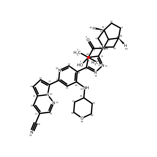 CC(C)(O)C(=O)NC1[C@@H]2CC[C@H]1CN(c1nnc(-c3cnc(-c4ccc5cc(C#N)cnn45)cc3NC3CCOCC3)s1)C2